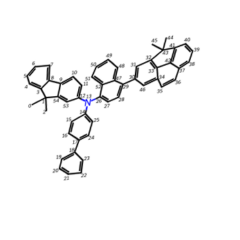 CC1(C)c2ccccc2-c2ccc(N(c3ccc(-c4ccccc4)cc3)c3ccc(-c4cc5c6c(ccc7cccc(c76)C5(C)C)c4)c4ccccc34)cc21